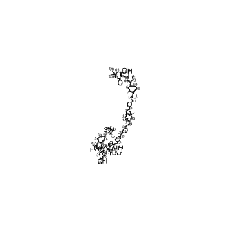 Cc1ccc(-c2ccc(OCCOCCN3CCN(CCOCCOCC(=O)N[C@H](C(=O)N4C[C@H](O)C[C@H]4C(=O)N[C@@H](C)c4ccc(-c5scnc5C)cc4)C(C)(C)C)CC3)cc2)cc1C1=C(O)CC(C)(C)CC1=O